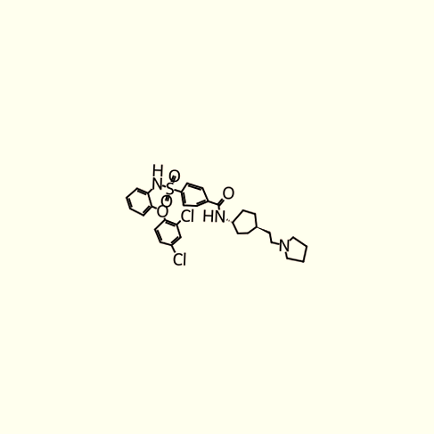 O=C(N[C@H]1CC[C@H](CCN2CCCC2)CC1)c1ccc(S(=O)(=O)Nc2ccccc2Oc2ccc(Cl)cc2Cl)cc1